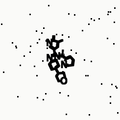 C=C1C(C)=CC(c2nc3ccc(C4CCOCC4)cc3n2[C@@H](C)c2ccccn2)=CN1C